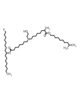 CCCCCCCCC(CCCCCCCCF)OC(=O)CCCCCCCN(CCO)CCCCCCC(C)C(=O)OCCCCCCCCC(C)C